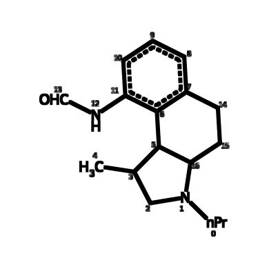 CCCN1CC(C)C2c3c(cccc3NC=O)CCC21